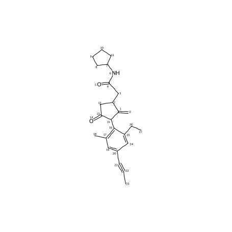 C=C1C(CC(=O)NC2CCCC2)CC(=O)C1c1c(C)cc(C#CC)cc1CC